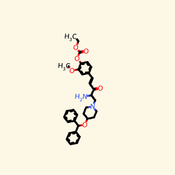 CCOC(=O)Oc1ccc(C=CC(=O)C(N)CN2CCC(OC(c3ccccc3)c3ccccc3)CC2)cc1OC